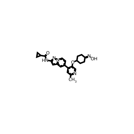 Cc1cc(-c2ccn3nc(NC(=O)C4CC4)cc3c2)c(OC2CCC(=NO)CC2)cn1